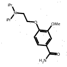 COc1cc(C(N)=O)ccc1OCCN(C(C)C)C(C)C